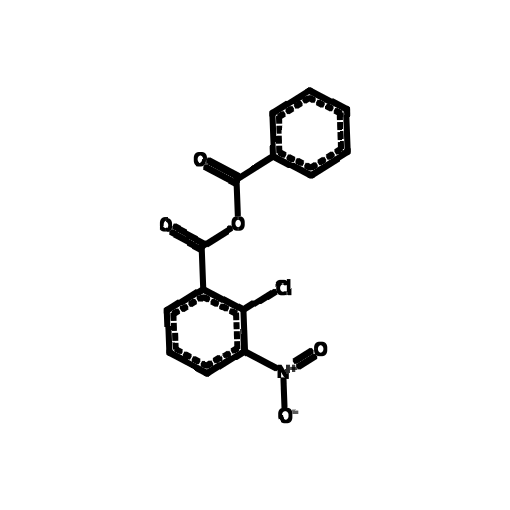 O=C(OC(=O)c1cccc([N+](=O)[O-])c1Cl)c1ccccc1